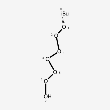 CC[C@@H](C)OOOOOOO